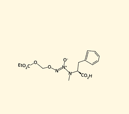 CCOC(=O)OCO/N=[N+](\[O-])N(C)[C@@H](Cc1ccccc1)C(=O)O